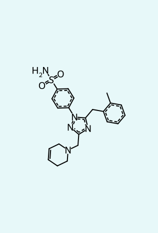 Cc1ccccc1Cc1nc(CN2CC=CCC2)nn1-c1ccc(S(N)(=O)=O)cc1